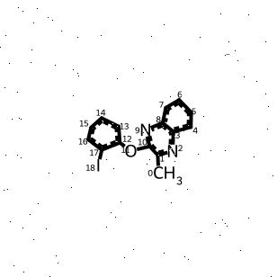 Cc1nc2ccccc2nc1Oc1ccccc1I